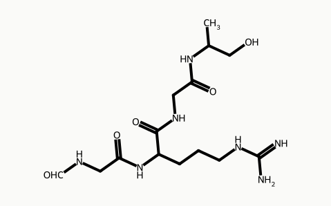 CC(CO)NC(=O)CNC(=O)C(CCCNC(=N)N)NC(=O)CNC=O